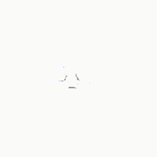 [CH2]CCc1ccc(N)c(N)c1